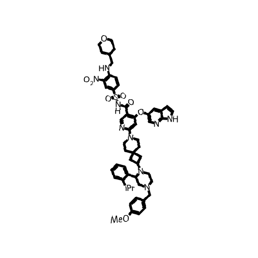 COc1ccc(CN2CCN(C3CC4(CCN(c5cc(Oc6cnc7[nH]ccc7c6)c(C(=O)NS(=O)(=O)c6ccc(NCC7CCOCC7)c([N+](=O)[O-])c6)cn5)CC4)C3)C(c3ccccc3C(C)C)C2)cc1